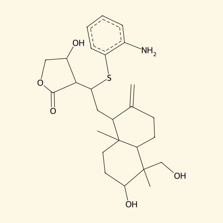 C=C1CCC2C(C)(CO)C(O)CCC2(C)C1CC(Sc1ccccc1N)C1C(=O)OCC1O